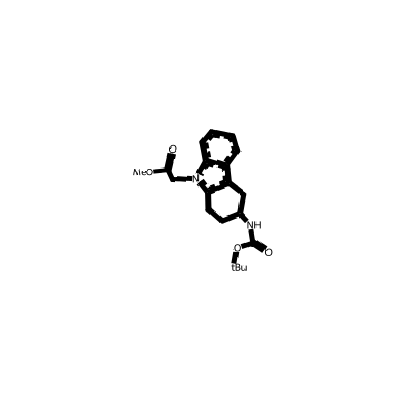 COC(=O)Cn1c2c(c3ccccc31)CC(NC(=O)OC(C)(C)C)CC2